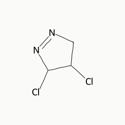 ClC1CN=NC1Cl